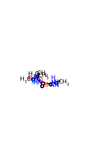 CCc1cncc(Nc2cc(COc3ccc(NC(=O)Nc4cc(C(C)(C)C)nn4-c4cc(F)cc(OC)c4)c4ccccc34)ccn2)n1